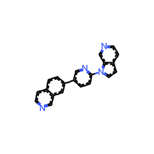 c1cc2ccc(-c3ccc(-n4ccc5ccncc54)nc3)cc2cn1